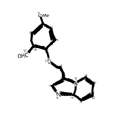 COc1ccc(OCc2cnc3ccccn23)c(C=O)c1